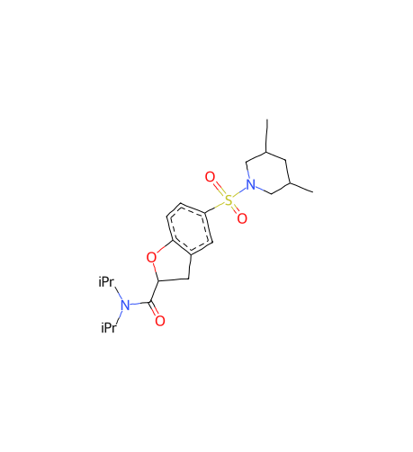 CC1CC(C)CN(S(=O)(=O)c2ccc3c(c2)CC(C(=O)N(C(C)C)C(C)C)O3)C1